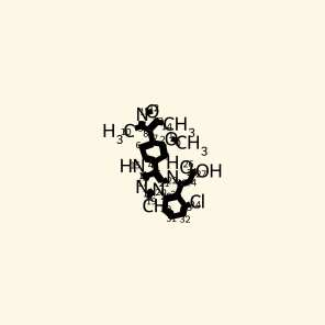 COc1cc2c(cc1-c1c(C)noc1C)[nH]c1nc(C)nc(NC(CC(=O)O)c3ccccc3Cl)c12